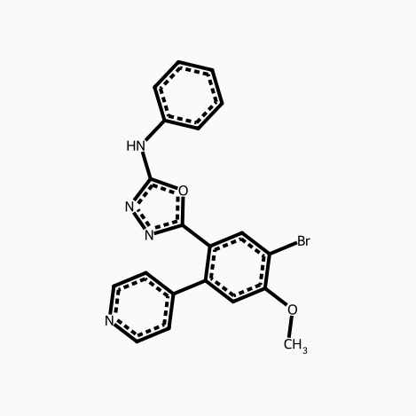 COc1cc(-c2ccncc2)c(-c2nnc(Nc3ccccc3)o2)cc1Br